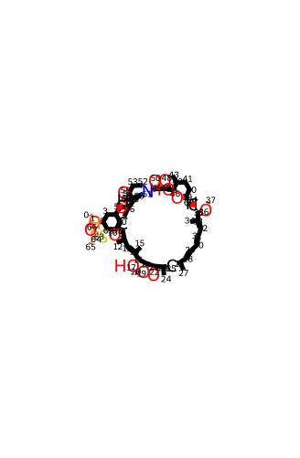 COC1CC(C[C@@H]2C3CC(=O)C(C)/C=C(\C)C(O)[C@@H](OC)C(=O)C(C)CC(C)/C=C/C=C/C=C(\C)[C@@H](OC)C[C@@H]4CCC(C)C(O)(O4)C(=O)C(=O)N4CCCC2C4C(=O)O3)CCC1S[PH](C)=O